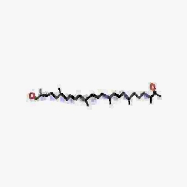 CC(=O)/C(C)=C/CC/C(C)=C/C=C/C(C)=C/C=C/C(C)=C/C=C/C=C(C)/C=C/C=C(\C)C=O